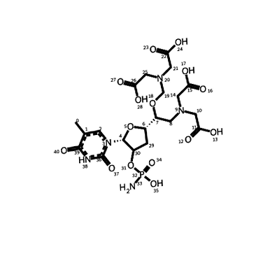 Cc1cn([C@@H]2O[C@H](C(CN(CC(=O)O)CC(=O)O)OCN(CC(=O)O)CC(=O)O)CC2OP(N)(=O)O)c(=O)[nH]c1=O